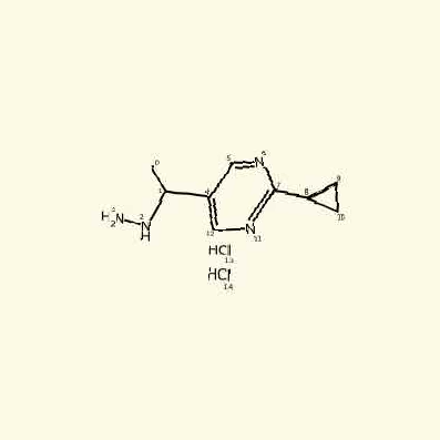 CC(NN)c1cnc(C2CC2)nc1.Cl.Cl